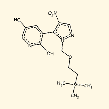 C[Si](C)(C)CCOCn1ncc([N+](=O)[O-])c1-c1cc(C#N)cnc1O